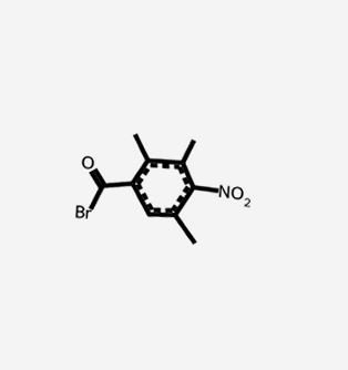 Cc1cc(C(=O)Br)c(C)c(C)c1[N+](=O)[O-]